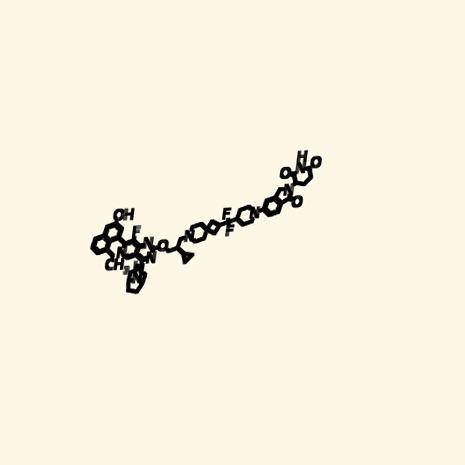 CCc1cccc2cc(O)cc(-c3ncc4c(N5CC6CCC(C5)N6)nc(OCC(CN5CCC6(CC5)CC(C(F)(F)C5CCN(c7ccc8c(c7)CN(C7CCC(=O)NC7=O)C8=O)CC5)C6)C5CC5)nc4c3F)c12